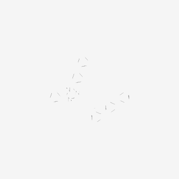 c1ccc(-c2ccc(-c3nc(-c4ccccc4)nc(C4CCC5c6cccc(-c7ccc(-c8ccccc8)cc7)c6OC5C4)n3)cc2)cc1